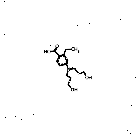 CCc1cc(N(CCCO)CCCO)ccc1C(=O)O